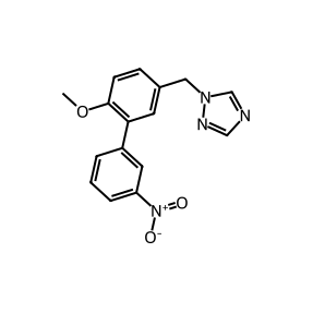 COc1ccc(Cn2cncn2)cc1-c1cccc([N+](=O)[O-])c1